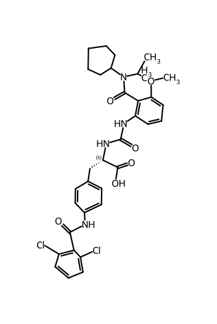 COc1cccc(NC(=O)N[C@@H](Cc2ccc(NC(=O)c3c(Cl)cccc3Cl)cc2)C(=O)O)c1C(=O)N(C(C)C)C1CCCCC1